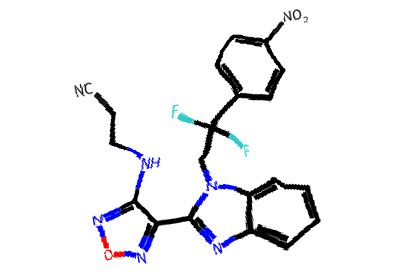 N#CCCNc1nonc1-c1nc2ccccc2n1CC(F)(F)c1ccc([N+](=O)[O-])cc1